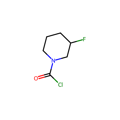 O=C(Cl)N1CCCC(F)C1